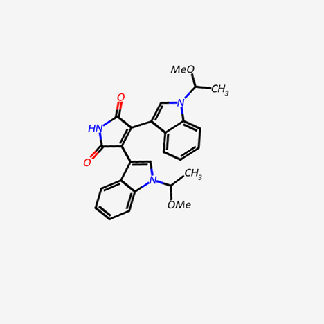 COC(C)n1cc(C2=C(c3cn(C(C)OC)c4ccccc34)C(=O)NC2=O)c2ccccc21